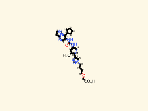 Cc1cc(NC(=O)Nc2cnc3ccnn3c2C2CCCC2)cnc1-c1cn(CCCCOCC(=O)O)nn1